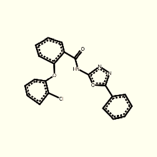 O=C(Nc1nnc(-c2ccccc2)o1)c1ccccc1Oc1ccccc1Cl